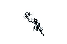 CCCCCC(=S)NCC(=O)NC[C@@H]1[C@H](CC/C=C\CCCC(=O)O)[C@@H]2CC[C@H]1O2